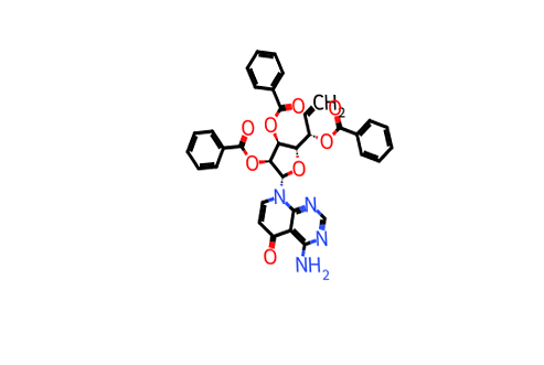 C=C[C@H](OC(=O)c1ccccc1)[C@@H]1O[C@H](n2ccc(=O)c3c(N)ncnc32)[C@@H](OC(=O)c2ccccc2)[C@H]1OC(=O)c1ccccc1